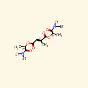 CCN(CC)C(=O)[C@@H](C)OC(=O)/C=C(\C)C(=O)O[C@H](C)C(=O)N(CC)CC